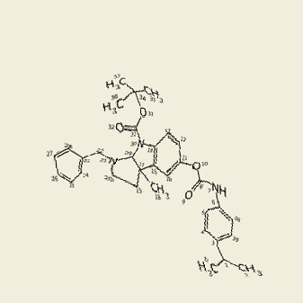 CC(C)c1ccc(NC(=O)Oc2ccc3c(c2)C2(C)CCN(Cc4ccccc4)C2N3C(=O)OC(C)(C)C)cc1